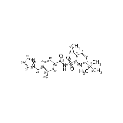 COc1ccc(C(C)(C)C)nc1S(=O)(=O)NC(=O)c1ccc(Cn2cccn2)c(F)c1